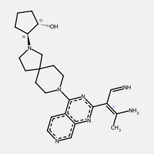 C/C(N)=C(/C=N)c1nc(N2CCC3(CC2)CCN([C@H]2CCC[C@@H]2O)C3)c2ccncc2n1